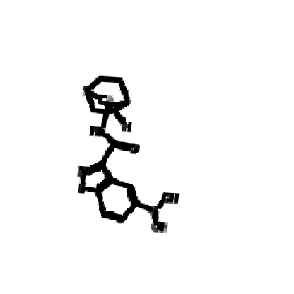 O=C(N[C@@H]1CN2CCC1CC2)c1nsc2ccc(B(O)O)cc12